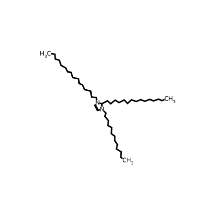 CCCCCCCCCCCCCCCCN1C=CN(CCCCCCCCCCCCC)C1CCCCCCCCCCCCCCC